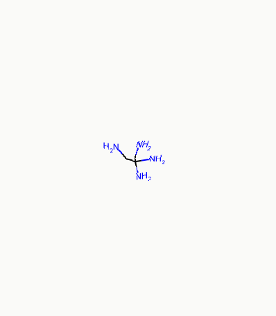 NCC(N)(N)N